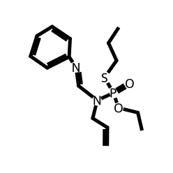 C=CCN(C=Nc1ccccc1)P(=O)(OCC)SCCC